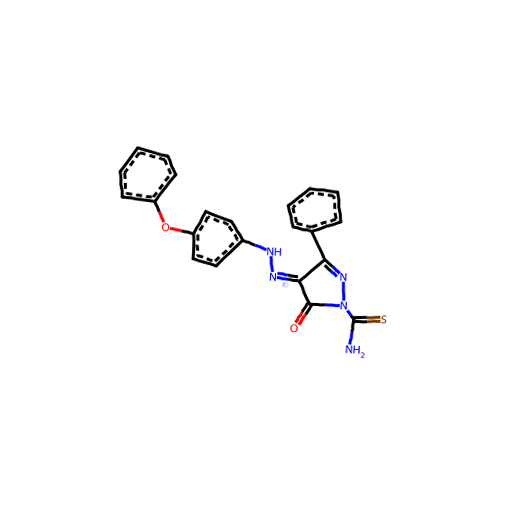 NC(=S)N1N=C(c2ccccc2)/C(=N\Nc2ccc(Oc3ccccc3)cc2)C1=O